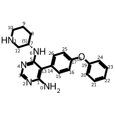 Nc1ncnc(N[C@H]2CCCNC2)c1-c1ccc(Oc2ccccc2)cc1